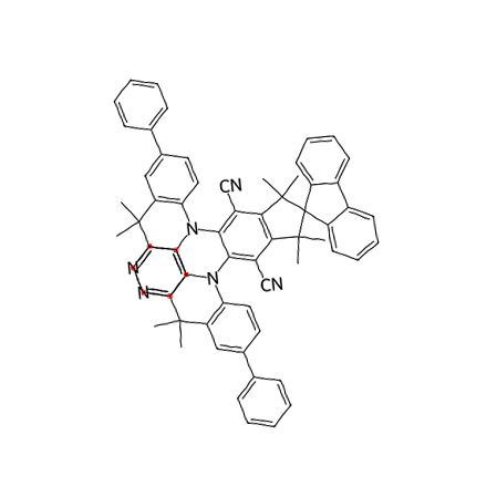 CC1(C)c2cc(-c3ccccc3)ccc2N(c2c(C#N)c3c(c(C#N)c2N2c4ccc(-c5ccccc5)cc4C(C)(C)c4ncccc42)C(C)(C)C2(c4ccccc4-c4ccccc42)C3(C)C)c2cccnc21